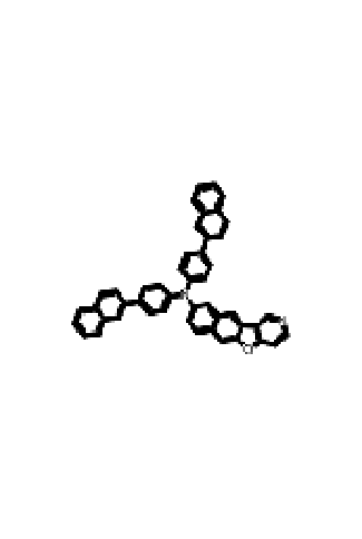 c1ccc2cc(-c3ccc(N(c4ccc(-c5ccc6ccccc6c5)cc4)c4ccc5cc6oc7ccncc7c6cc5c4)cc3)ccc2c1